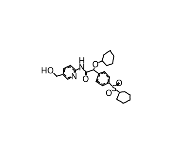 O=C(Nc1ccc(CO)cn1)C(OC1CCCCC1)c1ccc(S(=O)(=O)C2CCCCC2)cc1